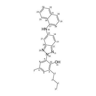 CCCCc1cc(C)cc(-n2nc3ccc(Nc4cccc5ccccc45)cc3n2)c1O